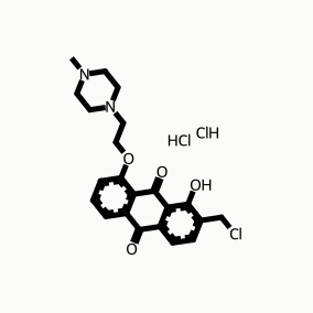 CN1CCN(CCOc2cccc3c2C(=O)c2c(ccc(CCl)c2O)C3=O)CC1.Cl.Cl